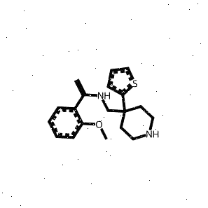 C=C(NCC1(c2cccs2)CCNCC1)c1ccccc1OC